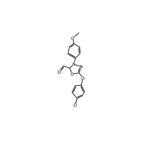 COc1ccc(N2N=C(Oc3ccc(Cl)cc3)OC2C=O)cc1